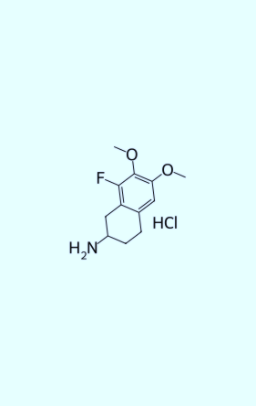 COc1cc2c(c(F)c1OC)CC(N)CC2.Cl